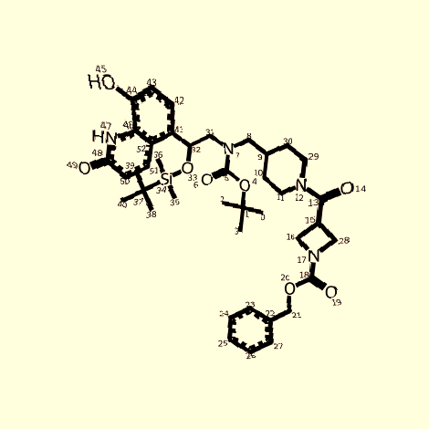 CC(C)(C)OC(=O)N(CC1CCN(C(=O)C2CN(C(=O)OCc3ccccc3)C2)CC1)CC(O[Si](C)(C)C(C)(C)C)c1ccc(O)c2[nH]c(=O)ccc12